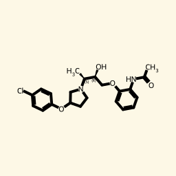 CC(=O)Nc1ccccc1OC[C@H](O)[C@H](C)N1CCC(Oc2ccc(Cl)cc2)C1